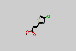 COC(=O)/C=C/c1cc(Cl)cs1